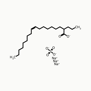 CCCCCCCC/C=C\CCCCCCC(CCC)C(=O)[O-].O=S(=O)([O-])[O-].[Na+].[Na+].[Na+]